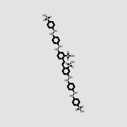 O=S(=O)(O)c1ccc(NNc2ccc(NNc3ccc(C=Cc4ccc(NNc5ccc(NNc6ccc(S(=O)(=O)O)cc6)cc5)cc4S(=O)(=O)O)c(S(=O)(=O)O)c3)cc2)cc1